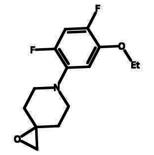 CCOc1cc(N2CCC3(CC2)CO3)c(F)cc1F